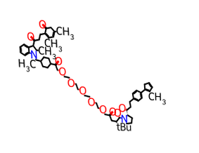 CC1=CC(C)=C(CCC(=O)C2c3ccccc3N(C(C)C3CCC(C(=O)COCCOCCOCCOCCOCC(=O)C[C@H](C(=O)N4CCC[C@H]4C(=O)CCc4ccc(C5=C(C)C=CC5)cc4)C(C)(C)C)CC3)C2C)C(=O)C1